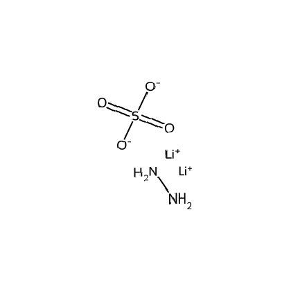 NN.O=S(=O)([O-])[O-].[Li+].[Li+]